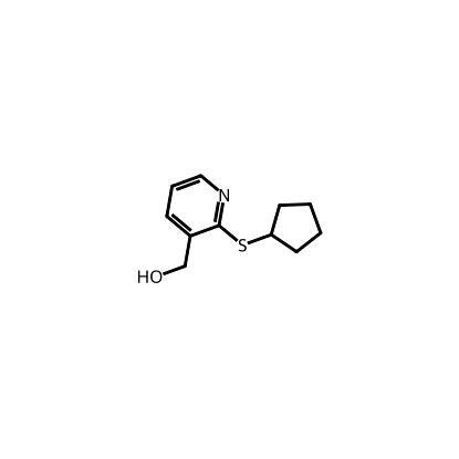 OCc1cccnc1SC1CCCC1